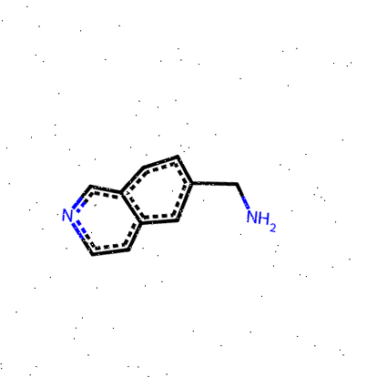 NCc1ccc2cnccc2c1